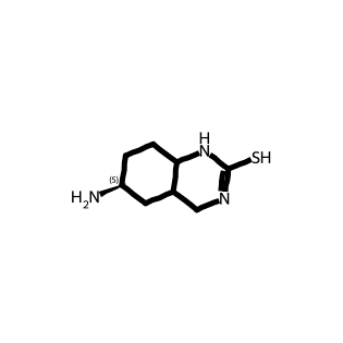 N[C@H]1CCC2NC(S)=NCC2C1